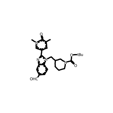 Cc1cc(-c2nc3cc(C=O)ccc3n2CC2CCCN(C(=O)OC(C)(C)C)C2)cn(C)c1=O